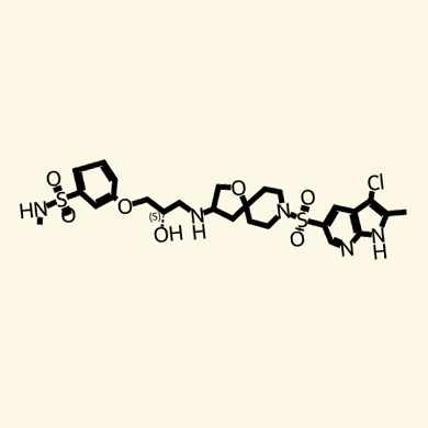 CNS(=O)(=O)c1cccc(OC[C@@H](O)CNC2COC3(CCN(S(=O)(=O)c4cnc5[nH]c(C)c(Cl)c5c4)CC3)C2)c1